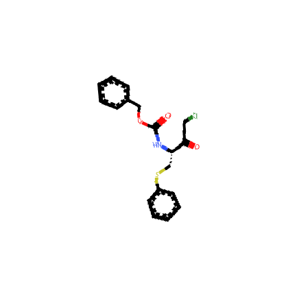 O=C(N[C@@H](CSc1ccccc1)C(=O)CCl)OCc1ccccc1